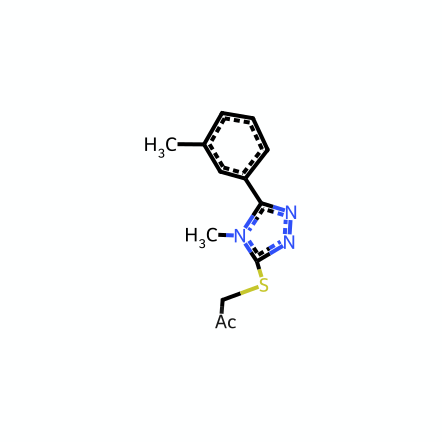 CC(=O)CSc1nnc(-c2cccc(C)c2)n1C